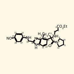 CCOC(=O)CCNC(C)(C(=O)N1CCCC1)c1ccc2[nH]c(CNc3ccc(C#N)cc3)nc2c1C